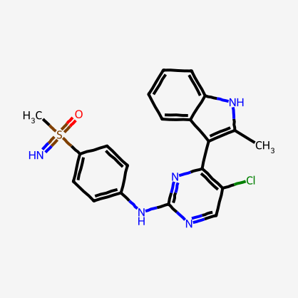 Cc1[nH]c2ccccc2c1-c1nc(Nc2ccc(S(C)(=N)=O)cc2)ncc1Cl